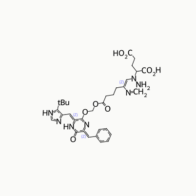 C=N/C(=C\N(N)C(CCC(=O)O)C(=O)O)CCCC(=O)OCOc1n/c(=C\c2ccccc2)c(=O)[nH]/c1=C\c1nc[nH]c1C(C)(C)C